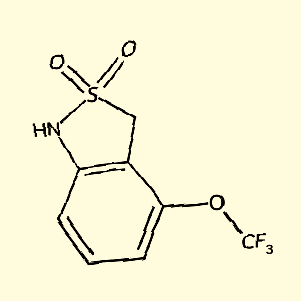 O=S1(=O)Cc2c(cccc2OC(F)(F)F)N1